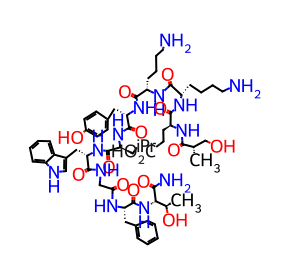 CC(C)C[C@H](NC(=O)[C@H](Cc1ccc(O)cc1)NC(=O)[C@H](CCCCN)NC(=O)[C@H](CCCCN)NC(=O)[C@H](CCC(=O)O)NC(=O)[C@@H](C)CO)C(=O)N[C@@H](Cc1c[nH]c2ccccc12)C(=O)NCC(=O)N[C@@H](Cc1ccccc1)C(=O)N[C@H](C(N)=O)[C@@H](C)O